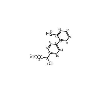 CCOC(=O)C(Cl)c1ccc(-c2ccccc2S)cc1